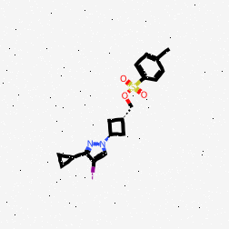 Cc1ccc(S(=O)(=O)OC[C@H]2C[C@H](n3cc(I)c(C4CC4)n3)C2)cc1